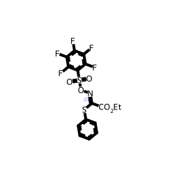 CCOC(=O)/C(=N/OS(=O)(=O)c1c(F)c(F)c(F)c(F)c1F)Sc1ccccc1